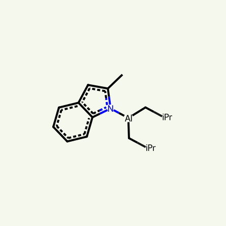 Cc1cc2ccccc2[n]1[Al]([CH2]C(C)C)[CH2]C(C)C